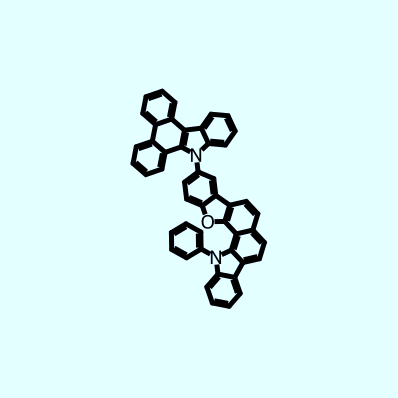 c1ccc(-n2c3ccccc3c3ccc4ccc5c6cc(-n7c8ccccc8c8c9ccccc9c9ccccc9c87)ccc6oc5c4c32)cc1